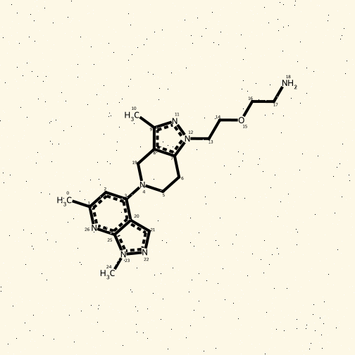 Cc1cc(N2CCc3c(c(C)nn3CCOCCN)C2)c2cnn(C)c2n1